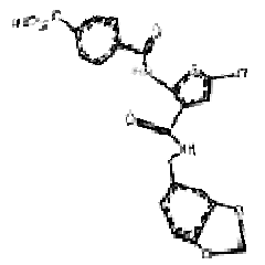 O=C(O)c1ccc(C(=O)Nc2sc(Cl)cc2C(=O)NCc2ccc3c(c2)OCO3)cc1